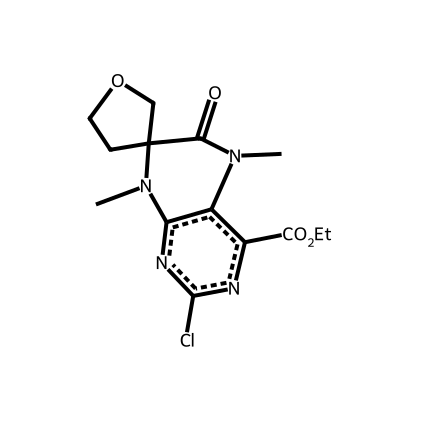 CCOC(=O)c1nc(Cl)nc2c1N(C)C(=O)C1(CCOC1)N2C